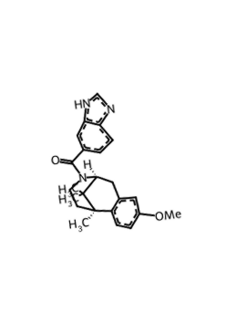 COc1ccc2c(c1)C[C@@H]1N(C(=O)c3ccc4nc[nH]c4c3)CC[C@@]2(C)C1(C)C